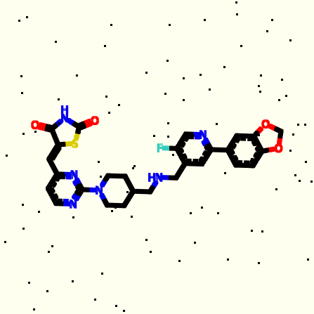 O=C1NC(=O)C(=Cc2ccnc(N3CCC(CNCc4cc(-c5ccc6c(c5)OCO6)ncc4F)CC3)n2)S1